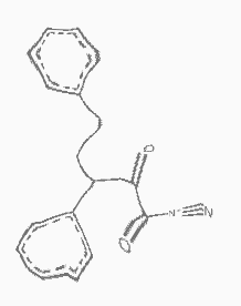 N#[N+]C(=O)C(=O)C(CCc1ccccc1)c1ccccc1